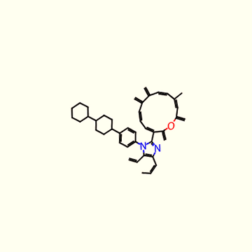 C=Cc1c(/C=C\C)nc(-c2cccc(=C)c(=C)ccc(C)cc(=C)oc2=C)n1-c1ccc(C2CCC(C3CCCCC3)CC2)cc1